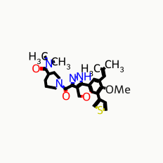 COc1c(C=C(C)C)cc2c(c1-c1ccsc1)OCc1c(C(=O)N3CCCC(C(=O)N(C)C)CC3)n[nH]c1-2